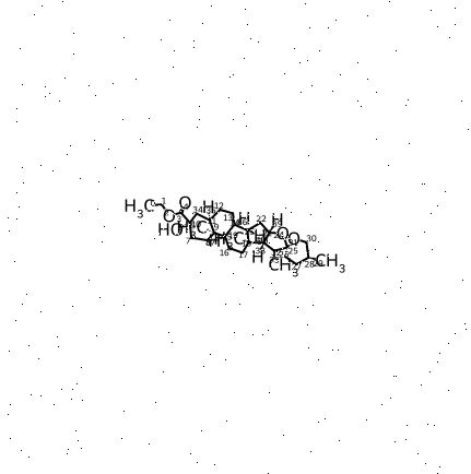 CCOC(=O)[C@]1(O)CC[C@@]2(C)[C@H](CC[C@@H]3[C@@H]2CC[C@]2(C)[C@@H]4[C@H](C[C@@H]32)O[C@]2(CC[C@H](C)CO2)[C@H]4C)C1